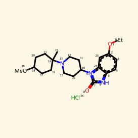 CCOc1ccc2[nH]c(=O)n(C3CCN(C4(C)CCC(OC)CC4)CC3)c2c1.Cl